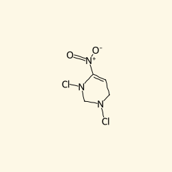 O=[N+]([O-])C1=CCN(Cl)CN1Cl